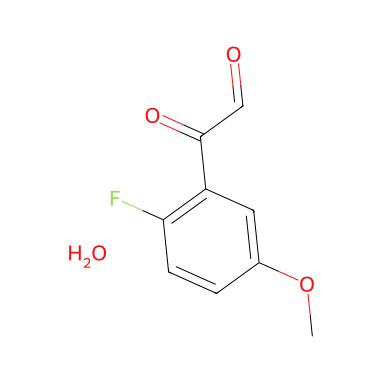 COc1ccc(F)c(C(=O)C=O)c1.O